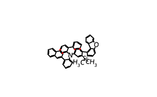 C[Si]1(C)c2cc(N(c3ccccc3-c3ccccc3)c3ccccc3-c3ccc4ccccc4c3)ccc2-c2c1ccc1oc3ccccc3c21